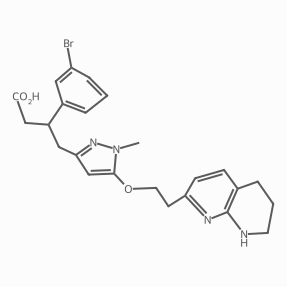 Cn1nc(CC(CC(=O)O)c2cccc(Br)c2)cc1OCCc1ccc2c(n1)NCCC2